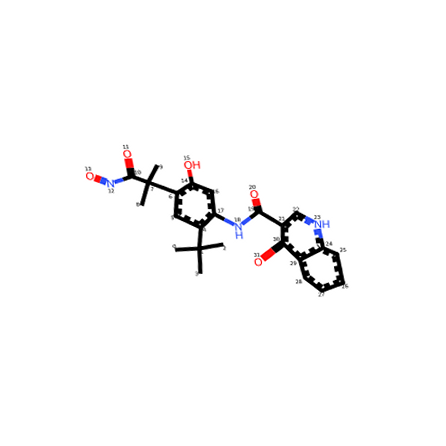 CC(C)(C)c1cc(C(C)(C)C(=O)N=O)c(O)cc1NC(=O)c1c[nH]c2ccccc2c1=O